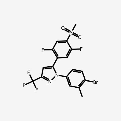 Cc1cc(-n2nc(C(F)(F)F)cc2-c2cc(F)c(S(C)(=O)=O)cc2F)ccc1Br